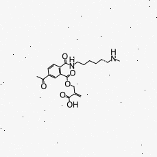 C=C(COC(=O)c1cc(C(C)=O)ccc1C(=O)NCCCCCCNC)C(=O)O